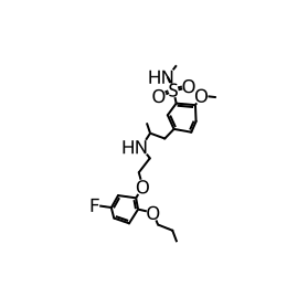 CCCOc1ccc(F)cc1OCCNC(C)Cc1ccc(OC)c(S(=O)(=O)NC)c1